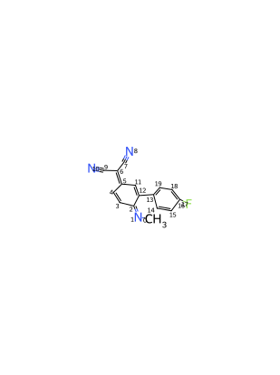 C/N=C1/C=CC(=C(C#N)C#N)C=C1c1ccc(F)cc1